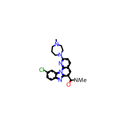 CNC(=O)c1cc2ccc(N3CCCN(C)CC3)nc2n2c1nc1ccc(Cl)cc12